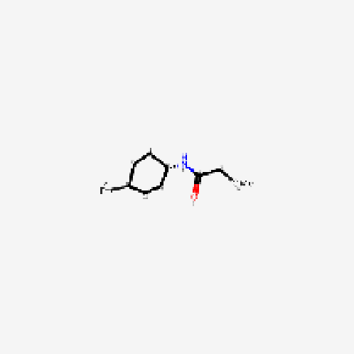 CC[C@H]1CC[C@H](NC(=O)COC)CC1